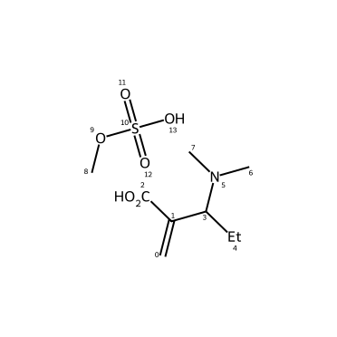 C=C(C(=O)O)C(CC)N(C)C.COS(=O)(=O)O